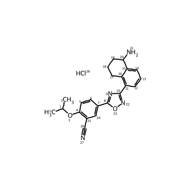 CC(C)Oc1ccc(-c2nc(-c3cccc4c3CCCC4N)no2)cc1C#N.Cl